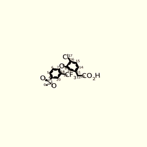 CS(=O)(=O)c1ccc(Oc2cc(CC(=O)O)ccc2Cl)c(C(F)(F)F)c1